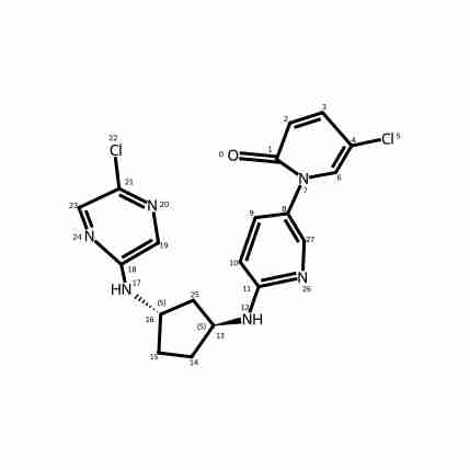 O=c1ccc(Cl)cn1-c1ccc(N[C@H]2CC[C@H](Nc3cnc(Cl)cn3)C2)nc1